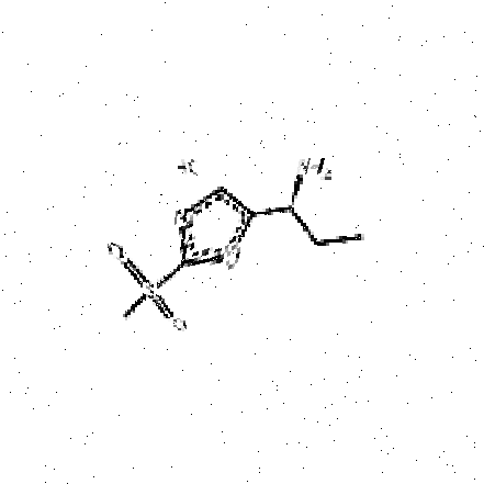 CC[C@H](N)c1cnc(S(C)(=O)=O)o1.Cl